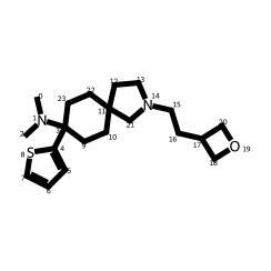 CN(C)C1(c2cccs2)CCC2(CCN(CCC3COC3)C2)CC1